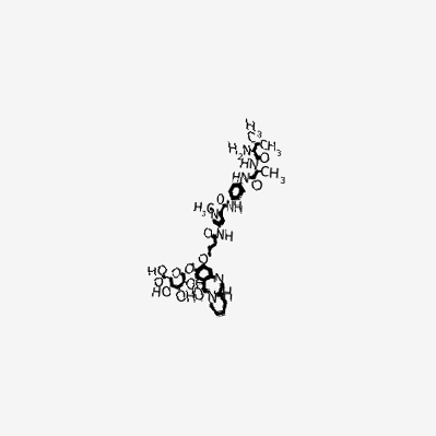 CC(C)[C@H](N)C(=O)N[C@@H](C)C(=O)Nc1ccc(NC(=O)c2cc(NC(=O)CCCOc3cc4c(cc3O[C@@H]3O[C@H](C(=O)O)[C@@H](O)[C@H](O)[C@H]3O)C(=O)N3CCCC[C@H]3C=N4)cn2C)cc1